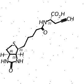 C#CC[C@H](NC(=O)CCCC[C@@H]1SC[C@@H]2NC(=O)N[C@@H]21)C(=O)O